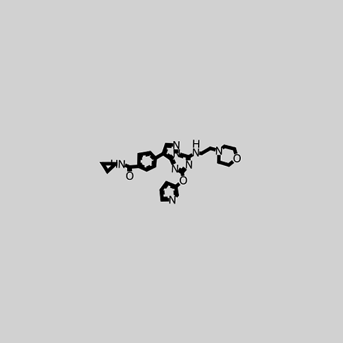 O=C(NC1CC1)c1ccc(-c2cnn3c(NCCN4CCOCC4)nc(Oc4cccnc4)nc23)cc1